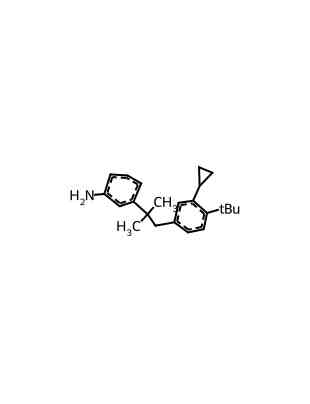 CC(C)(C)c1ccc(CC(C)(C)c2cccc(N)c2)cc1C1CC1